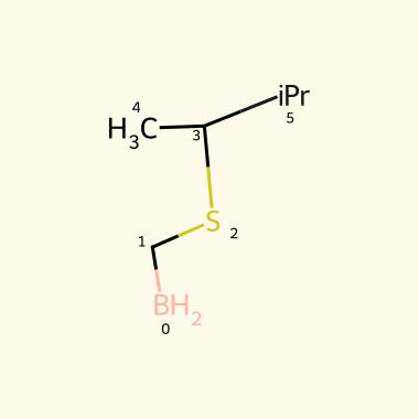 BCSC(C)C(C)C